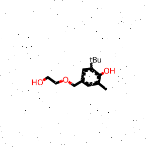 Cc1cc(COCCO)cc(C(C)(C)C)c1O